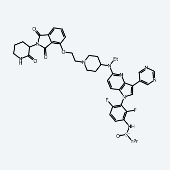 CCC[S+]([O-])Nc1ccc(F)c(-n2cc(-c3cncnc3)c3nc(N(CC)C4CCN(CCOc5cccc6c5C(=O)N(C5CCCNC5=O)C6=O)CC4)ccc32)c1F